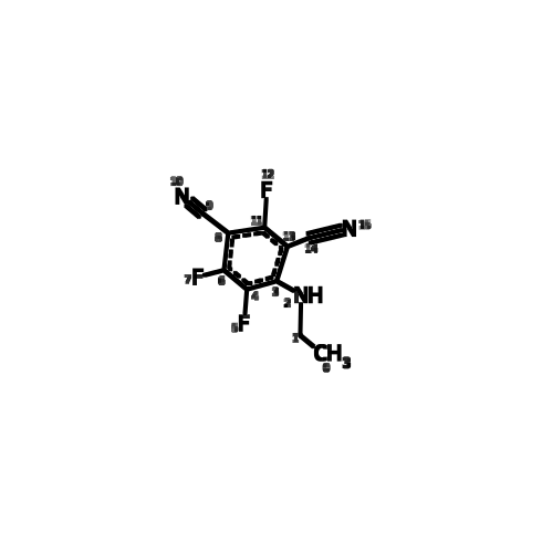 CCNc1c(F)c(F)c(C#N)c(F)c1C#N